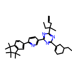 C=CCC(C)(CC)c1nc(C2=CCCC(CC)C2)nc(-c2ccc(-c3ccc4c(c3)C(C)(C)C(C)(C)C4(C)C)nc2)n1